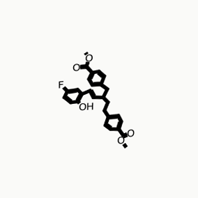 COC(=O)c1ccc(CCC(/C=C/c2cc(F)ccc2O)Cc2ccc(C(=O)OC)cc2)cc1